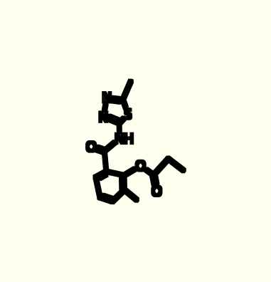 CCC(=O)Oc1c(C)cccc1C(=O)Nc1nnc(C)s1